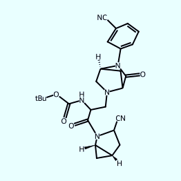 CC(C)(C)OC(=O)NC(CN1C[C@@H]2CC1C(=O)N2c1cccc(C#N)c1)C(=O)N1C(C#N)C[C@@H]2C[C@@H]21